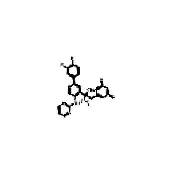 CC(C=O)(Cc1cc(F)cc(F)c1)c1cc(-c2ccc(F)c(F)c2)ccc1Nc1ncccn1